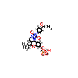 CC(=O)c1ccc(-n2c(=O)n3n(c2=O)C2C(=CC3)C(C)(C)Oc3cc(OCP(=O)(O)O)ccc32)cc1